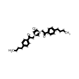 CCCCc1ccc(C(=O)Cn2cc[n+](CC(=O)c3ccc(CCCC)cc3)c2)cc1.[Cl-]